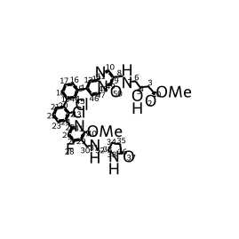 COC(=O)C[C@@H](O)CNCc1cnc2cc(-c3cccc(-c4cccc(-c5cc(F)c(CNC[C@@H]6CCC(=O)N6)c(OC)n5)c4Cl)c3Cl)ccn2c1=O